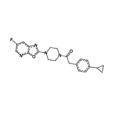 O=C(Cc1ccc(C2CC2)cc1)N1CCN(c2nc3cc(F)cnc3o2)CC1